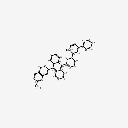 Cc1ccc2c(c1)C=C(C1=c3ccccc3=C(C3=CC=CC(C4C=C(c5ccncc5)C=CN4)C3)C3C=CC=CC13)CC2